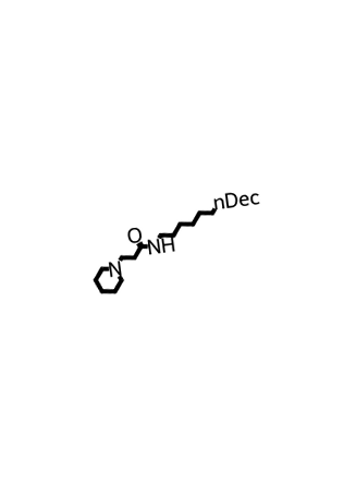 CCCCCCCCCCCCCCCCNC(=O)CCN1CCCCC1